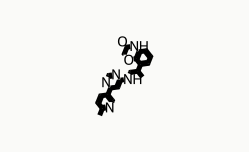 Cc1ccc(-c2cc(NCC(C)c3cccc4c3OCC(=O)N4)ncn2)cn1